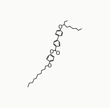 CCCCCCCCCCOc1ccc(OC(=O)c2ccc(-c3ccc(OC(CC)CCCCCC)cc3)cc2)cc1